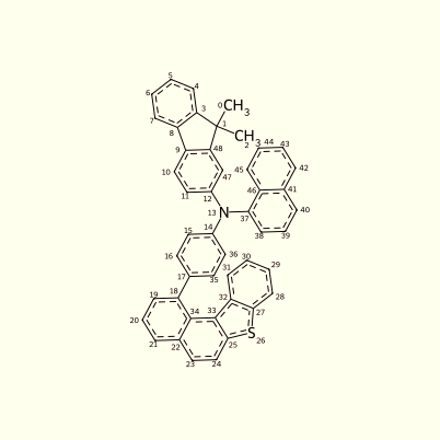 CC1(C)c2ccccc2-c2ccc(N(c3ccc(-c4cccc5ccc6sc7ccccc7c6c45)cc3)c3cccc4ccccc34)cc21